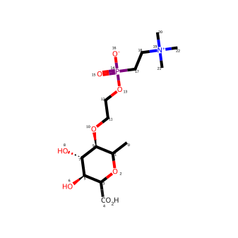 CC1OC(C(=O)O)[C@@H](O)[C@H](O)[C@H]1OCCOP(=O)([O-])CC[N+](C)(C)C